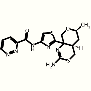 C[C@H]1C[C@H]2CSC(N)=NC2(c2nc(NC(=O)c3cccnn3)cs2)CO1